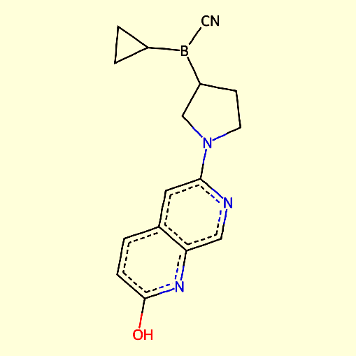 N#CB(C1CC1)C1CCN(c2cc3ccc(O)nc3cn2)C1